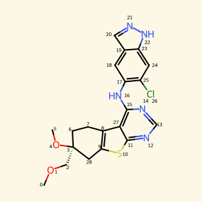 COC[C@]1(OC)CCc2c(sc3ncnc(Nc4cc5cn[nH]c5cc4Cl)c23)C1